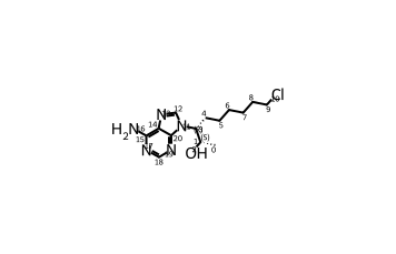 C[C@H](O)[C@@H](CCCCCCCl)n1cnc2c(N)ncnc21